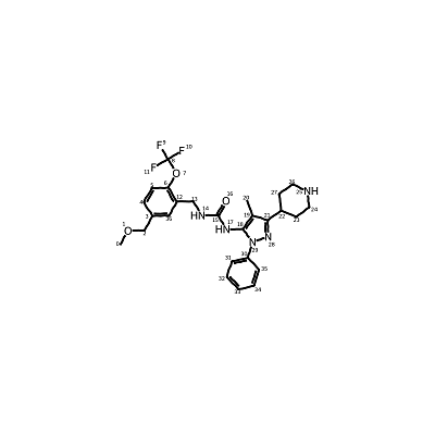 COCc1ccc(OC(F)(F)F)c(CNC(=O)Nc2c(C)c(C3CCNCC3)nn2-c2ccccc2)c1